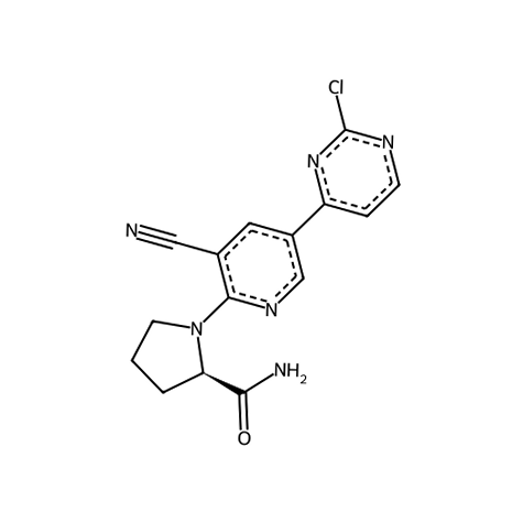 N#Cc1cc(-c2ccnc(Cl)n2)cnc1N1CCC[C@@H]1C(N)=O